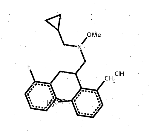 CON(CC1CC1)CC(Cc1c(F)cccc1F)c1c(C)cccc1C.Cl